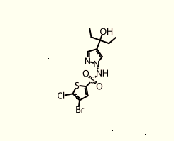 CCC(O)(CC)c1cnn(NS(=O)(=O)c2cc(Br)c(Cl)s2)c1